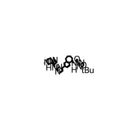 CN1CCn2ncc(Nc3nccc(-c4ccc5c(c4)CCCCC5NC(=O)c4noc(C(C)(C)C)n4)n3)c2C1